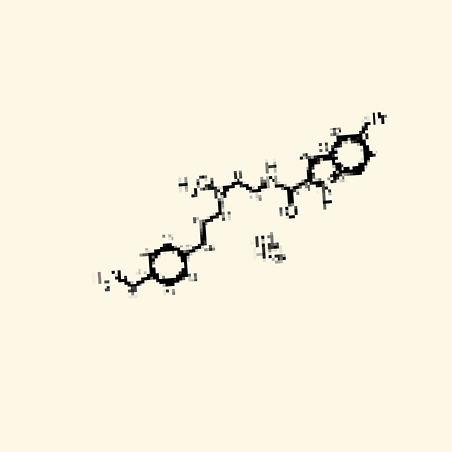 CC(C)c1ccc2[nH]c(C(=O)NCCN(C)CCCc3ccc(CN)cc3)cc2c1.Cl.Cl